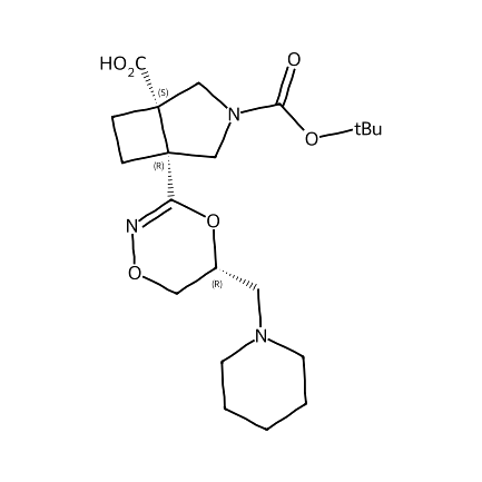 CC(C)(C)OC(=O)N1C[C@]2(C(=O)O)CC[C@]2(C2=NOC[C@@H](CN3CCCCC3)O2)C1